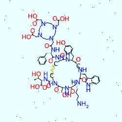 C[C@@H](O)C1NC(=O)[C@@H](CCCCN)NC(=O)[C@H](Cc2c[nH]c3ccccc23)NCC(=O)C(Cc2ccc(O)cc2)NC(=O)[C@@H](NC(=O)[C@H](Cc2ccccc2)NC(=O)CN2CCN(CC(=O)O)CCN(CC(=O)O)CCN(CC(=O)O)CC2)CSSC[C@@H](C(=O)N[C@H](C(=O)O)[C@@H](C)O)NC1=O